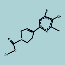 Cc1nc(C2=CCN(C(=O)OC(C)(C)C)CC2)cc(Br)c1O